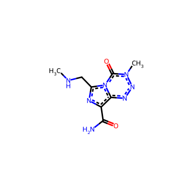 CNCc1nc(C(N)=O)c2nnn(C)c(=O)n12